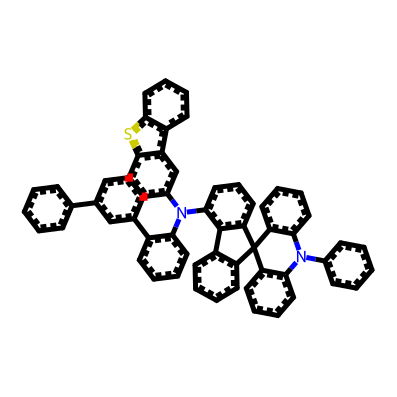 c1ccc(-c2cccc(-c3ccccc3N(c3ccc4sc5ccccc5c4c3)c3cccc4c3-c3ccccc3C43c4ccccc4N(c4ccccc4)c4ccccc43)c2)cc1